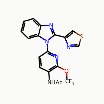 CC(=O)Nc1ccc(-n2c(-c3cscn3)nc3ccccc32)nc1OC(F)(F)F